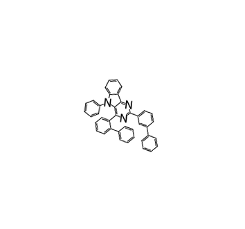 c1ccc(-c2cccc(-c3nc(-c4ccccc4-c4ccccc4)c4c(n3)c3ccccc3n4-c3ccccc3)c2)cc1